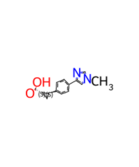 Cn1cnc(-c2ccc([C@H]3C[C@@H]3C(=O)O)cc2)c1